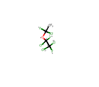 FC(F)(F)C(F)(Cl)OC(F)(Cl)C(F)(Cl)Cl